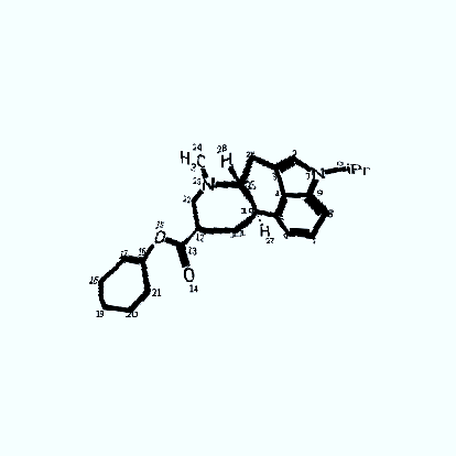 CC(C)n1cc2c3c(cccc31)[C@H]1C[C@@H](C(=O)OC3CCCCC3)CN(C)[C@@H]1C2